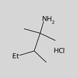 CCC(C)C(C)(C)N.Cl